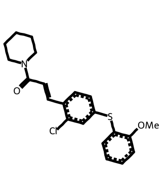 COc1ccccc1Sc1ccc(/C=C/C(=O)N2CCCCC2)c(Cl)c1